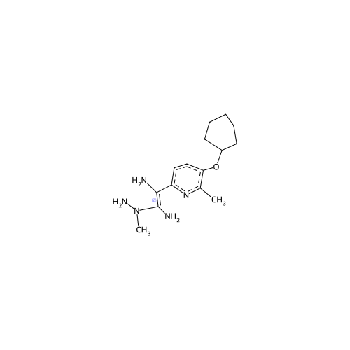 Cc1nc(/C(N)=C(\N)N(C)N)ccc1OC1CCCCC1